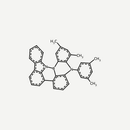 Cc1cc(C)cc(N2c3cccc4c3B(c3cc(C)cc(C)c32)n2c3ccccc3c3cccc-4c32)c1